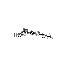 CC(C)CCOCCOCCOCCOC(C)(C)CCO